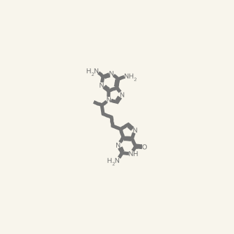 CC(CCCC1C=Nc2c1nc(N)[nH]c2=O)n1cnc2c(N)nc(N)nc21